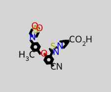 Cc1cc(CN2CCS(=O)(=O)CC2)ccc1COc1ccc(C#N)cc1-c1csc(N2CC3C(C2)C3C(=O)O)n1